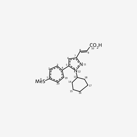 CSc1ccc(-c2cc(/C=C/C(=O)O)nn2C2CCCCC2)cc1